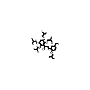 CCc1ccc(OCC(C)C)c(C=CC(=O)c2c(OCC(C)C)c(OCC(C)C)cc(OCC(C)C)c2OCC(C)C)c1